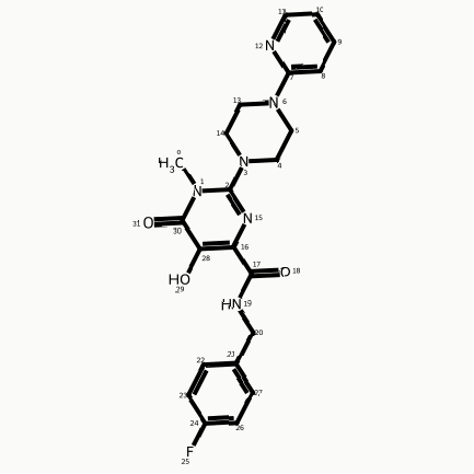 Cn1c(N2CCN(c3ccccn3)CC2)nc(C(=O)NCc2ccc(F)cc2)c(O)c1=O